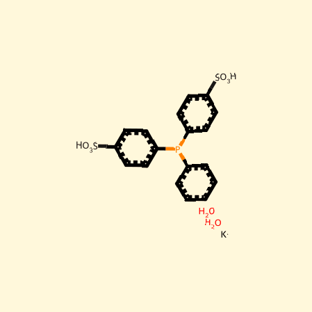 O.O.O=S(=O)(O)c1ccc(P(c2ccccc2)c2ccc(S(=O)(=O)O)cc2)cc1.[K]